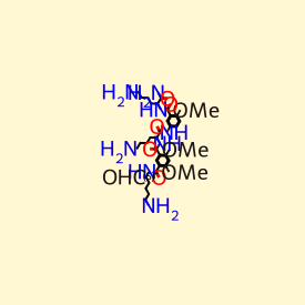 COc1ccc(NC(=O)C(CCCCN)NC(=O)c2cc(C(=O)N[C@H](C=O)CCCCN)c(OC)cc2OC)cc1C(=O)NC(CCCCN)C(N)=O